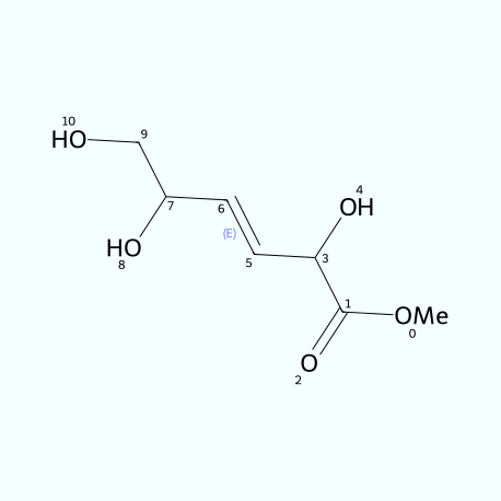 COC(=O)C(O)/C=C/C(O)CO